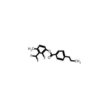 CCCc1ccc(C(=O)Oc2ccc(C)c(C(F)F)c2F)cc1